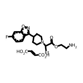 CCC(C(=O)OCCN)N1CCC(c2noc3cc(F)ccc23)CC1.O=C(O)/C=C/C(=O)O